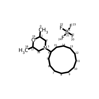 CC1CN(C2CCCCCCCCCCC2)CC(C)O1.F[B-](F)(F)F